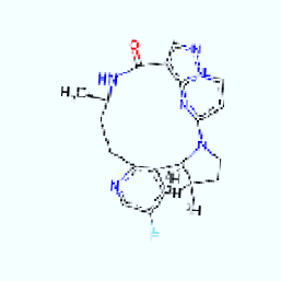 [2H]C1([2H])CCN2c3ccn4ncc(c4n3)C(=O)N[C@H](C)CCc3ncc(F)cc3[C@@]21[2H]